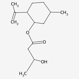 C=C(C)C1CCC(C)CC1OC(=O)CC(C)O